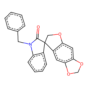 O=C1N(Cc2ccccc2)c2ccccc2C12COc1cc3c(cc12)OCO3